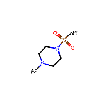 CCCS(=O)(=O)N1CCN(C(C)=O)CC1